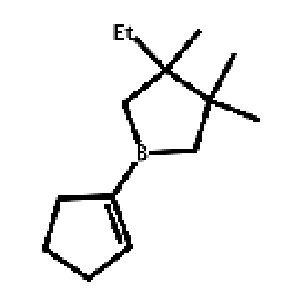 CCC1(C)CB(C2=CCCC2)CC1(C)C